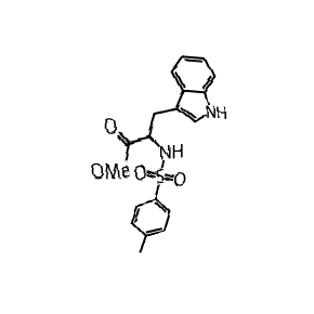 COC(=O)C(Cc1c[nH]c2ccccc12)NS(=O)(=O)c1ccc(C)cc1